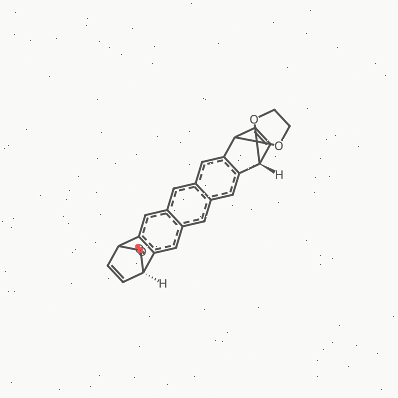 C1=C[C@@H]2c3cc4cc5cc6c(cc5cc4cc3C1C21OCCO1)C1C=C[C@H]6C12OCCO2